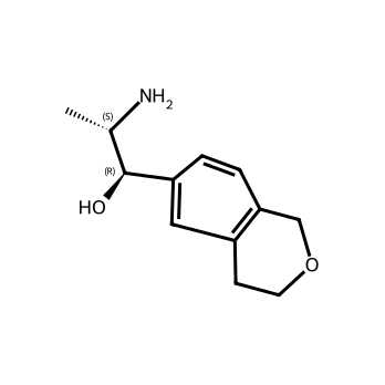 C[C@H](N)[C@H](O)c1ccc2c(c1)CCOC2